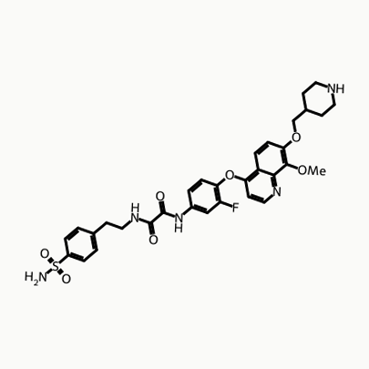 COc1c(OCC2CCNCC2)ccc2c(Oc3ccc(NC(=O)C(=O)NCCc4ccc(S(N)(=O)=O)cc4)cc3F)ccnc12